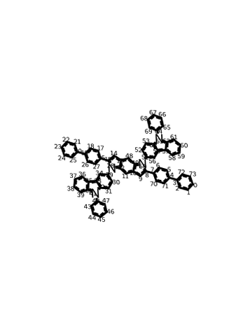 c1ccc(-c2ccc(-c3cc4cc5c(cc(-c6ccc(-c7ccccc7)cc6)n5-c5ccc6c(c5)c5ccccc5n6-c5ccccc5)cc4n3-c3ccc4c(c3)c3ccccc3n4-c3ccccc3)cc2)cc1